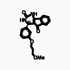 COCCCOc1cccc([C@@H]2NC(=O)NC3=C2C(=O)c2ccccc23)c1